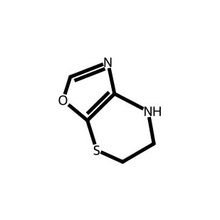 c1nc2c(o1)SCCN2